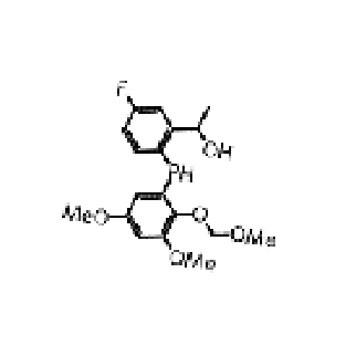 COCOc1c(OC)cc(OC)cc1Pc1ccc(F)cc1C(C)O